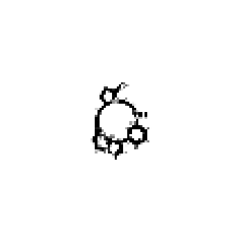 O=C1CCC2CCc3ccn4ncc(c4n3)-c3cccc(c3)NCCN12